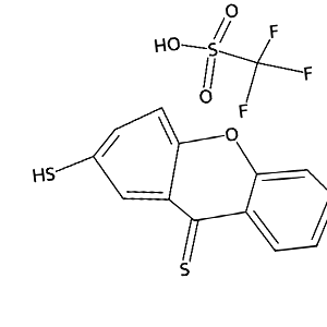 O=S(=O)(O)C(F)(F)F.S=c1c2ccccc2oc2ccc(S)cc12